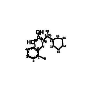 Cc1ccccc1CN([C@H](C)C1CCCCC1)P(O)O